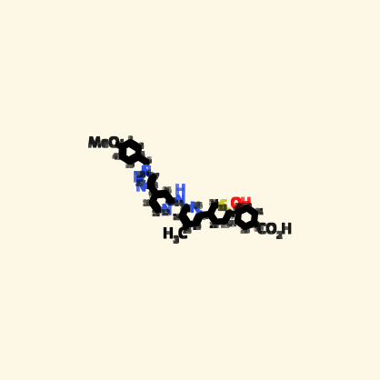 COc1ccc(Cn2cc(-c3ccnc(Nc4cc(C)cc(C5CC[C@@H](C6(O)CCC(C(=O)O)CC6)SC5)n4)c3)nn2)cc1